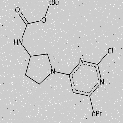 CCCc1cc(N2CCC(NC(=O)OC(C)(C)C)C2)nc(Cl)n1